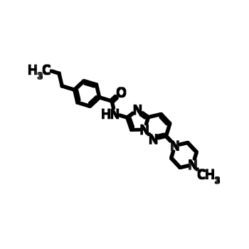 CCCc1ccc(C(=O)Nc2cn3nc(N4CCN(C)CC4)ccc3n2)cc1